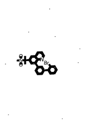 CC(C)(c1cc(-c2cccc(-c3ccccc3Br)c2)c2ncccc2c1)S(C)(=O)=O